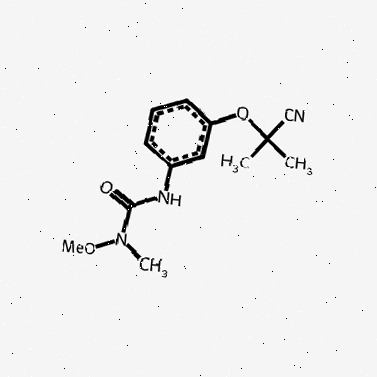 CON(C)C(=O)Nc1cccc(OC(C)(C)C#N)c1